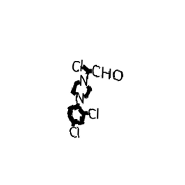 O=CC(Cl)N1CCN(c2ccc(Cl)cc2Cl)CC1